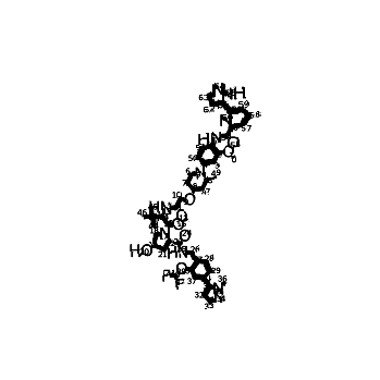 COc1cc(N2CC[C@H](OCC(=O)N[C@H](C(=O)N3C[C@H](O)C[C@H]3C(=O)NCc3ccc(-c4ccnn4C)cc3OC(F)F)C(C)(C)C)C[C@@H]2C)ccc1NC(=O)c1cccc(-c2ccn[nH]2)n1